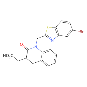 O=C(O)CC1Cc2ccccc2N(Cc2nc3cc(Br)ccc3s2)C1=O